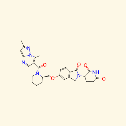 Cc1cc2ncc(C(=O)N3CCCC[C@@H]3COc3ccc4c(c3)CN(C3CCC(=O)NC3=O)C4=O)c(C)n2n1